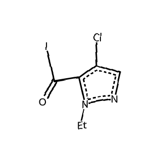 CCn1ncc(Cl)c1C(=O)I